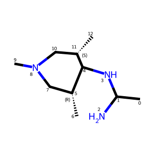 CC(N)NC1[C@H](C)CN(C)C[C@@H]1C